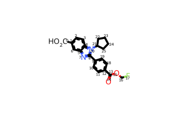 O=C(O)c1ccc2c(c1)nc(-c1ccc(C(=O)OCF)cc1)n2C1CCCC1